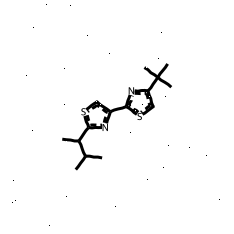 CC(C)C(C)c1nc(-c2nc(C(C)(C)C)cs2)cs1